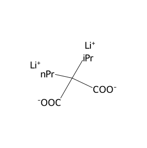 CCCC(C(=O)[O-])(C(=O)[O-])C(C)C.[Li+].[Li+]